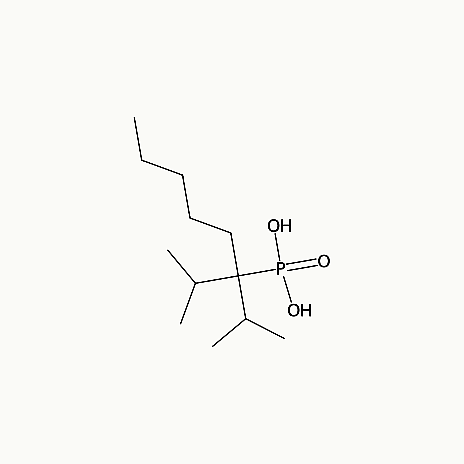 CCCCCC(C(C)C)(C(C)C)P(=O)(O)O